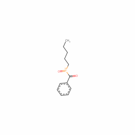 CCCCC[PH](=O)C(=O)c1ccccc1